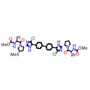 COC(=O)NC(C(=O)N1C[C@@H](SC)C[C@H]1c1nc(Cl)c(-c2ccc(-c3ccc(-c4[nH]c([C@@H]5CCCN5C(=O)[C@@H](NC(=O)OC)C(C)C)nc4Cl)cc3)cc2)[nH]1)C(C)C